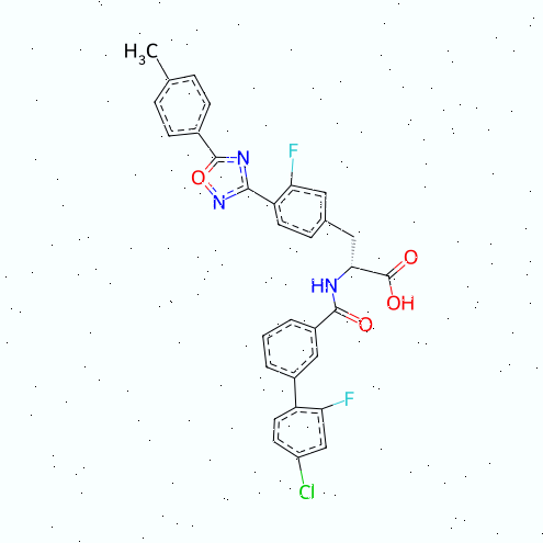 Cc1ccc(-c2nc(-c3ccc(C[C@@H](NC(=O)c4cccc(-c5ccc(Cl)cc5F)c4)C(=O)O)cc3F)no2)cc1